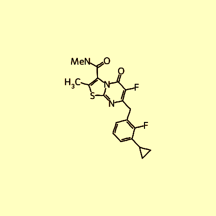 CNC(=O)c1c(C)sc2nc(Cc3cccc(C4CC4)c3F)c(F)c(=O)n12